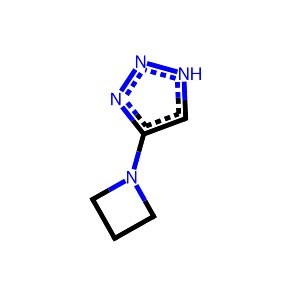 c1[nH]nnc1N1CCC1